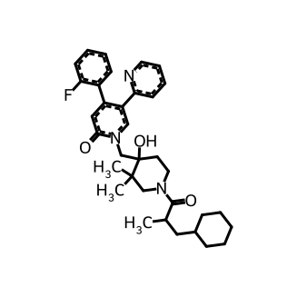 CC(CC1CCCCC1)C(=O)N1CCC(O)(Cn2cc(-c3ccccn3)c(-c3ccccc3F)cc2=O)C(C)(C)C1